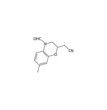 Cc1ccc2c(c1)OC(CC#N)CN2C=O